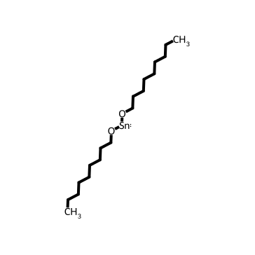 CCCCCCCCC[O][Sn][O]CCCCCCCCC